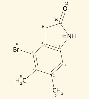 Cc1cc2c(c(Br)c1C)CC(=O)N2